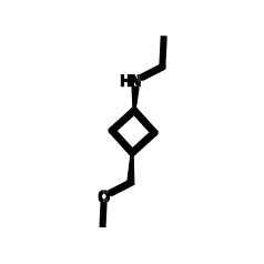 CCN[C@H]1C[C@@H](COC)C1